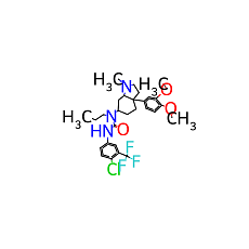 CCCN(C(=O)Nc1ccc(Cl)c(C(F)(F)F)c1)C1CCC2(c3ccc(OC)c(OC)c3)CCN(C)C2C1